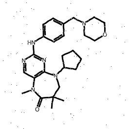 CN1C(=O)C(C)(C)CN(C2CCCC2)c2nc(Nc3ccc(CN4CCOCC4)cc3)ncc21